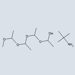 CC(C)(C)N.COC(C)OC(C)OC(C)OC(C)O